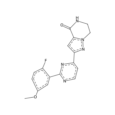 COc1ccc(F)c(-c2nccc(-c3cc4n(n3)CCNC4=O)n2)c1